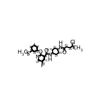 CSc1cccc(Oc2ncc(F)cc2C(=O)N[C@H]2CC[C@@H](NC(=O)CCC(C)Cl)CC2)c1